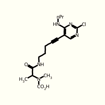 CCCNc1nc(Cl)ncc1C#CCCCNC(=O)C(C)N(C)C(=O)O